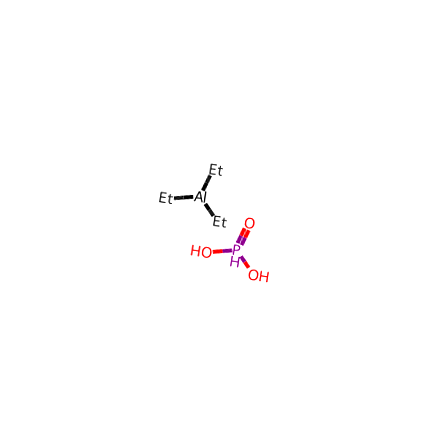 C[CH2][Al]([CH2]C)[CH2]C.O=[PH](O)O